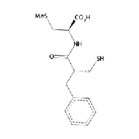 CSC[C@H](NC(=O)[C@H](CS)Cc1ccccc1)C(=O)O